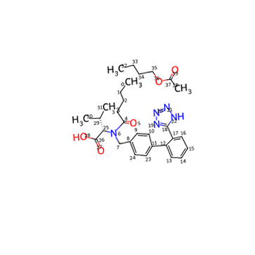 CCCCC(=O)N(Cc1ccc(-c2ccccc2-c2nnn[nH]2)cc1)[C@H](C(=O)O)C(C)C.CCCCOC(C)=O